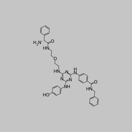 N[C@@H](C(=O)NCCOCCNc1nc(Nc2ccc(O)cc2)nc(Nc2ccc(C(=O)NCc3ccccc3)cc2)n1)c1ccccc1